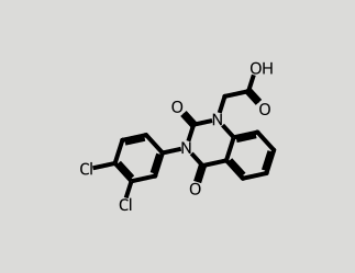 O=C(O)Cn1c(=O)n(-c2ccc(Cl)c(Cl)c2)c(=O)c2ccccc21